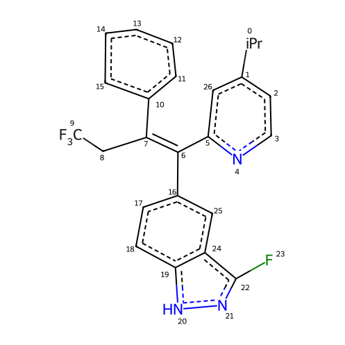 CC(C)c1ccnc(/C(=C(/CC(F)(F)F)c2ccccc2)c2ccc3[nH]nc(F)c3c2)c1